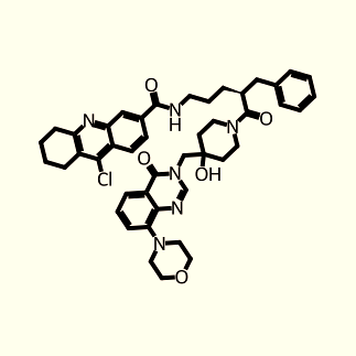 O=C(NCCC[C@@H](Cc1ccccc1)C(=O)N1CCC(O)(Cn2cnc3c(N4CCOCC4)cccc3c2=O)CC1)c1ccc2c(Cl)c3c(nc2c1)CCCC3